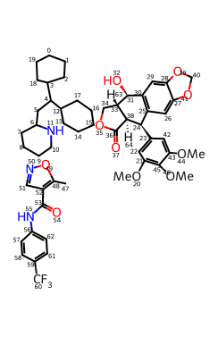 C1CCC(C(CC2CCCCN2)C2CCCCC2)CC1.COc1cc([C@@H]2c3cc4c(cc3[C@H](O)[C@H]3COC(=O)[C@H]23)OCO4)cc(OC)c1OC.Cc1oncc1C(=O)Nc1ccc(C(F)(F)F)cc1